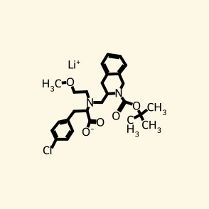 COCCN(CC1Cc2ccccc2CN1C(=O)OC(C)(C)C)C(Cc1ccc(Cl)cc1)C(=O)[O-].[Li+]